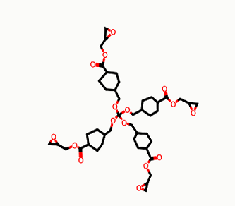 O=C(OCC1CO1)C1CCC(COC(OCC2CCC(C(=O)OCC3CO3)CC2)(OCC2CCC(C(=O)OCC3CO3)CC2)OCC2CCC(C(=O)OCC3CO3)CC2)CC1